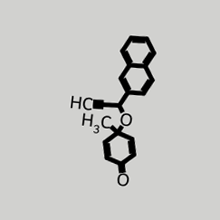 C#CC(OC1(C)C=CC(=O)C=C1)c1ccc2ccccc2c1